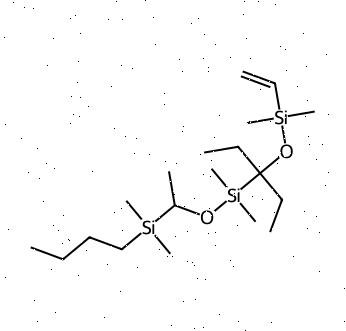 C=C[Si](C)(C)OC(CC)(CC)[Si](C)(C)OC(C)[Si](C)(C)CCCC